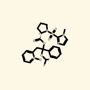 Cn1ccnc1S(=O)(=O)N1CCC[C@H]1C(=O)OC(Cc1cccc[n+]1[O-])(OC(F)F)c1ccccc1